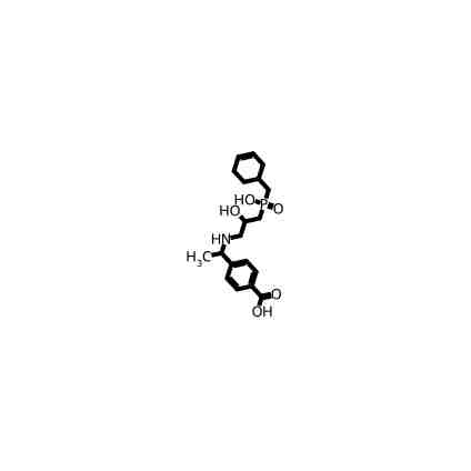 CC(NCC(O)CP(=O)(O)CC1CC=CCC1)c1ccc(C(=O)O)cc1